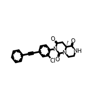 C[C@@]12CC(=O)N(c3ccc(C#Cc4ccccc4)cc3Cl)C(=O)N1CCNC2=O